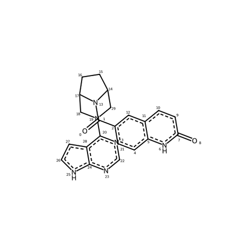 O=C(c1ccc2[nH]c(=O)ccc2c1)N1C2CCC1CN(c1ncnc3[nH]ccc13)C2